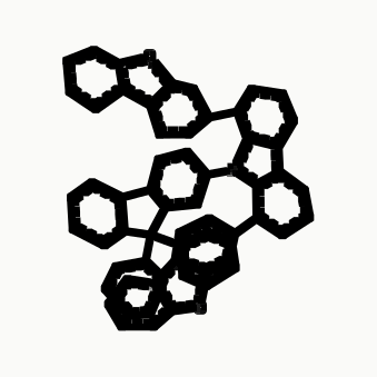 c1ccc(C2(c3ccccc3)c3ccccc3-c3ccc(-n4c5c(-c6ccc7c(c6)oc6ccccc67)cccc5c5cccc(-c6ccc7c(c6)oc6ccccc67)c54)cc32)cc1